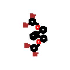 Brc1cc(Br)cc(COc2ccccc2C2C3CC4CC(C3)CC2(c2ccccc2OCc2cc(Br)cc(Br)c2)C4)c1